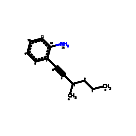 CCCC(C)C#Cc1ccccc1N